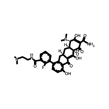 CN(C)CCNC(=O)c1cccc(-c2ccc(O)c3c2C[C@H]2C[C@H]4[C@H](N(C)C)C(O)=C(C(N)=O)C(=O)[C@@]4(O)C(O)=C2C3=O)c1F